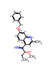 CC[C@H](OC)C(=N)c1cc(C)nc2cc(OCc3ccccc3)ccc12